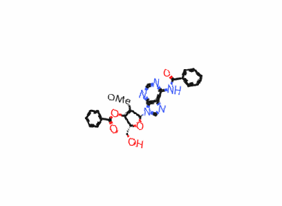 COC1C(OC(=O)c2ccccc2)[C@@H](CO)O[C@H]1n1cnc2c(NC(=O)c3ccccc3)ncnc21